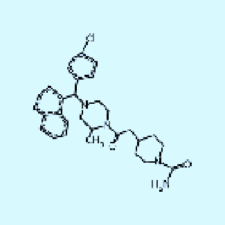 CC1CN(C(c2ccc(Cl)cc2)c2cccc3ccccc23)CCN1C(=O)CC1CCN(C(N)=O)CC1